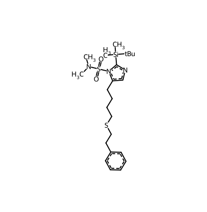 CN(C)S(=O)(=O)n1c(CCCCSCCc2ccccc2)cnc1[Si](C)(C)C(C)(C)C